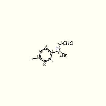 Cc1ccc(/C(Br)=C/C=O)cc1